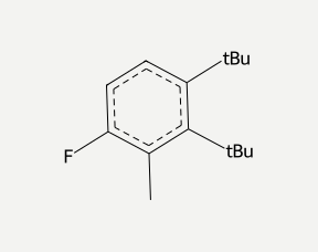 Cc1c(F)ccc(C(C)(C)C)c1C(C)(C)C